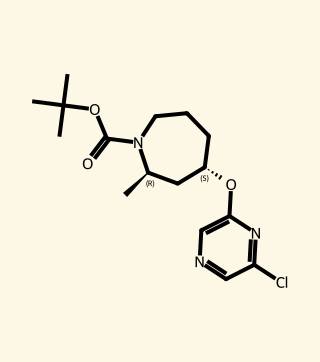 C[C@@H]1C[C@@H](Oc2cncc(Cl)n2)CCCN1C(=O)OC(C)(C)C